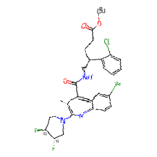 Cc1c(N2C[C@H](F)[C@@H](F)C2)nc2ccc(Br)cc2c1C(=O)NCC(CCC(=O)OC(C)(C)C)c1ccccc1Cl